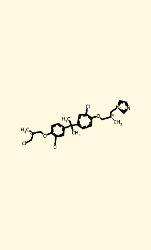 C[C@H](CCl)COc1ccc(C(C)(C)c2ccc(OC[C@@H](C)Cn3ccnc3)c(Cl)c2)cc1Cl